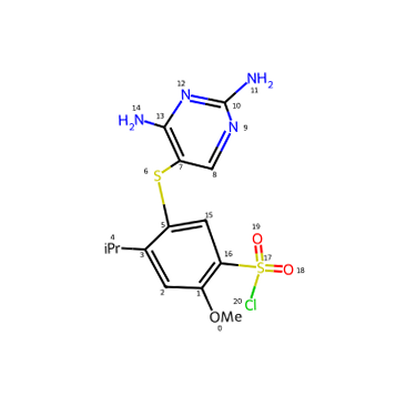 COc1cc(C(C)C)c(Sc2cnc(N)nc2N)cc1S(=O)(=O)Cl